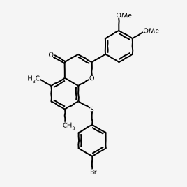 COc1ccc(-c2cc(=O)c3c(C)cc(C)c(Sc4ccc(Br)cc4)c3o2)cc1OC